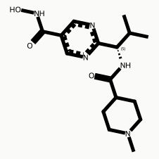 CC(C)[C@H](NC(=O)C1CCN(C)CC1)c1ncc(C(=O)NO)cn1